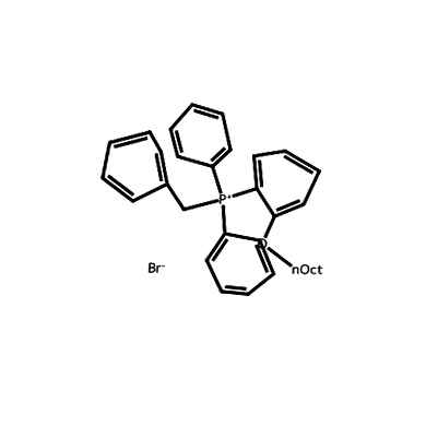 CCCCCCCCOc1ccccc1[P+](Cc1ccccc1)(c1ccccc1)c1ccccc1.[Br-]